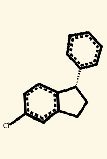 Clc1ccc2c(c1)CC[C@H]2c1ccccc1